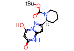 CC(C)(C)OC(=O)N1CCCC[C@H]1c1cc2[nH]c(=O)cc(O)n2n1